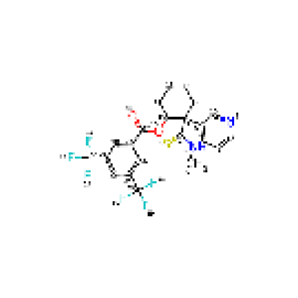 CNC(=S)C1(c2cccnc2)CCCCC1OC(=O)c1cc(C(F)(F)F)cc(C(F)(F)F)c1